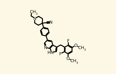 CCN1CCC(C#N)(c2ccc(-c3cnc4[nH]cc(Cc5c(F)c(OC)cc(OC)c5F)c4c3)cc2)CC1